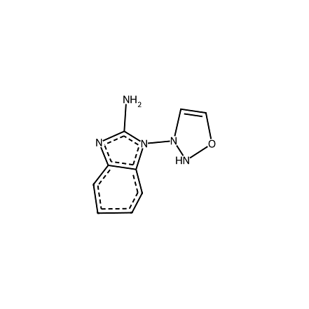 Nc1nc2ccccc2n1N1C=CON1